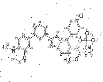 CC(=O)[C@@H](OC(C)(C)C)c1c(C)cc2nc(-c3ccnc(-c4ccc5c(c4)OCCN5C)c3)sc2c1-c1ccc(Cl)cc1